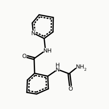 NC(=O)Nc1ccccc1C(=O)Nc1ccccn1